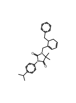 CC(C)c1ccc(N2C(=O)N(CC3=CC=CCC3Cc3ccccc3)C(C)(C)C2=O)cc1